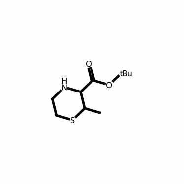 CC1SCCNC1C(=O)OC(C)(C)C